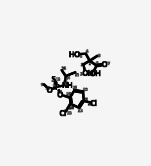 CC(CO)(CO)C(=O)O.COP(=S)(NC(C)C)Oc1ccc(Cl)cc1Cl